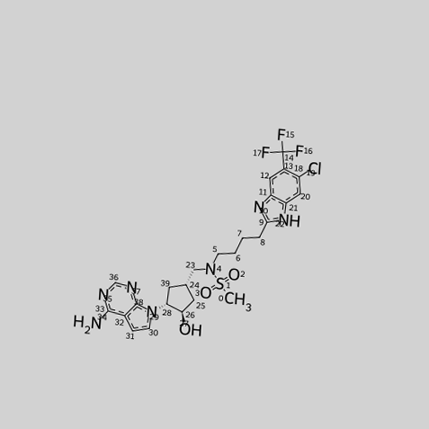 CS(=O)(=O)N(CCCCc1nc2cc(C(F)(F)F)c(Cl)cc2[nH]1)C[C@@H]1C[C@@H](O)[C@H](n2ccc3c(N)ncnc32)C1